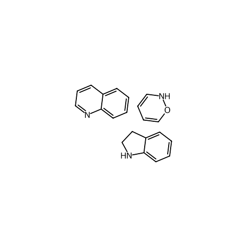 C1=CNOC=C1.c1ccc2c(c1)CCN2.c1ccc2ncccc2c1